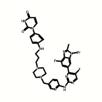 Cc1nc2c(F)cc(-c3nc(Nc4ccc(CN5CCN(CCCNc6ccc(-n7ccc(=O)[nH]c7=O)cc6)CC5)cn4)ncc3F)cc2n1C(C)C